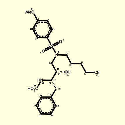 COc1ccc(S(=O)(=O)N(CCCCC#N)C[C@H](O)[C@H](Cc2ccccc2)NC(=O)O)cc1